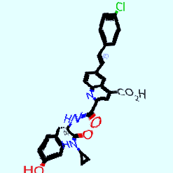 O=C(N[C@@H](Cc1ccc(O)cc1)C(=O)NC1CC1)c1cc(C(=O)O)c2cc(/C=C/c3ccc(Cl)cc3)ccc2n1